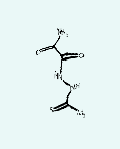 NC(=O)C(=O)NNC(N)=S